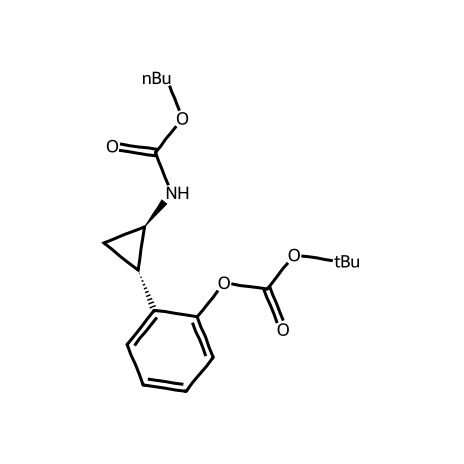 CCCCOC(=O)N[C@@H]1C[C@H]1c1ccccc1OC(=O)OC(C)(C)C